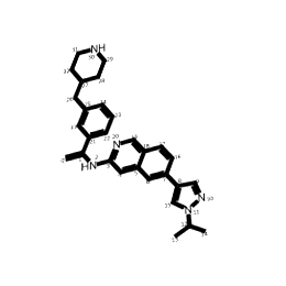 C=C(Nc1cc2cc(-c3cnn(C(C)C)c3)ccc2cn1)c1cccc(CC2CCNCC2)c1